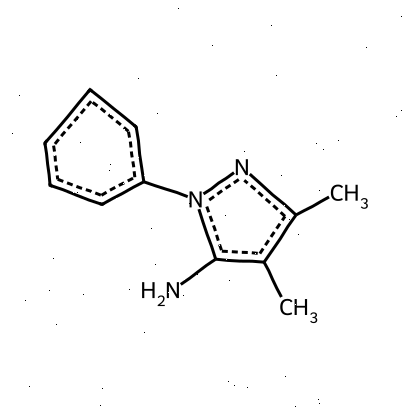 Cc1nn(-c2ccccc2)c(N)c1C